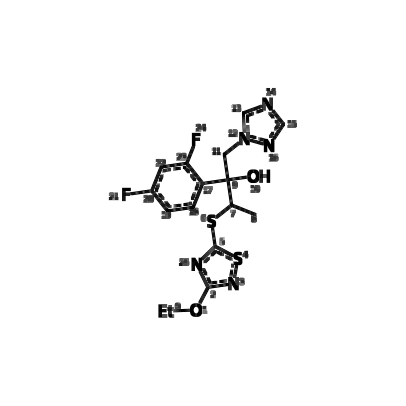 CCOc1nsc(SC(C)C(O)(Cn2cncn2)c2ccc(F)cc2F)n1